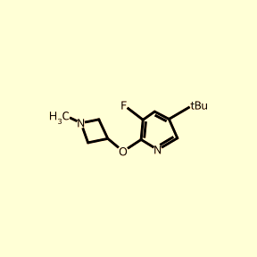 CN1CC(Oc2ncc(C(C)(C)C)cc2F)C1